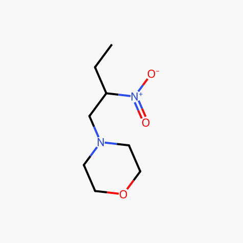 CCC(CN1CCOCC1)[N+](=O)[O-]